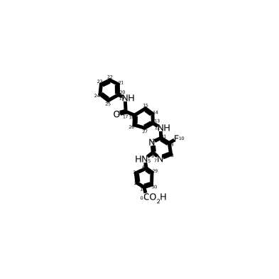 O=C(O)c1ccc(Nc2ncc(F)c(Nc3ccc(C(=O)Nc4ccccc4)cc3)n2)cc1